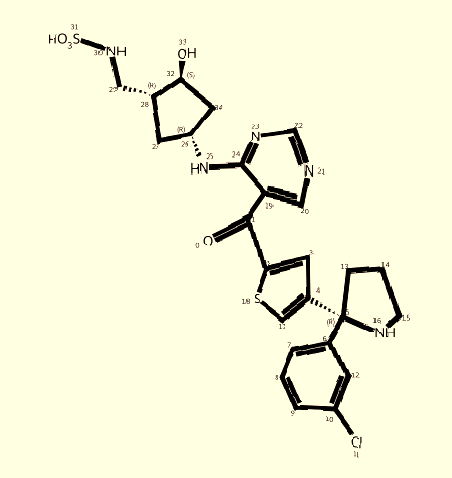 O=C(c1cc([C@]2(c3cccc(Cl)c3)CCCN2)cs1)c1cncnc1N[C@@H]1C[C@H](CNS(=O)(=O)O)[C@@H](O)C1